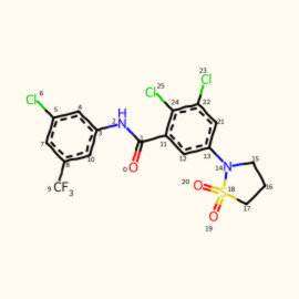 O=C(Nc1cc(Cl)cc(C(F)(F)F)c1)c1cc(N2CCCS2(=O)=O)cc(Cl)c1Cl